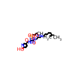 C=C(/C=C\C=C\CNC[C@@H](O)CNC(=O)[C@@H](CS(=O)(=O)CCCC)NC(=O)c1ccc(O)nc1)CC